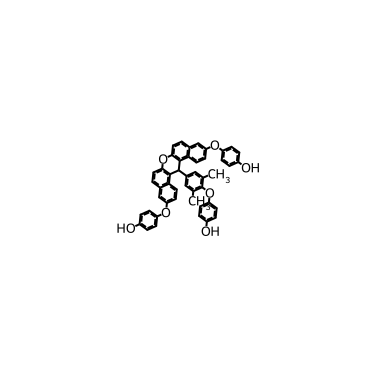 Cc1cc(C2c3c(ccc4cc(Oc5ccc(O)cc5)ccc34)Oc3ccc4cc(Oc5ccc(O)cc5)ccc4c32)cc(C)c1Oc1ccc(O)cc1